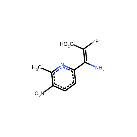 CCC/C(C(=O)O)=C(\N)c1ccc([N+](=O)[O-])c(C)n1